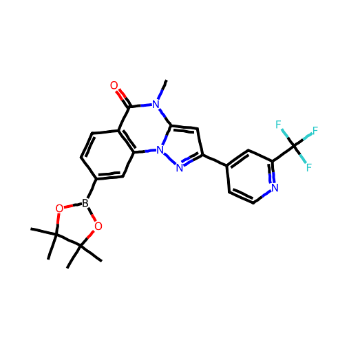 Cn1c(=O)c2ccc(B3OC(C)(C)C(C)(C)O3)cc2n2nc(-c3ccnc(C(F)(F)F)c3)cc12